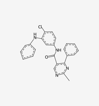 Cc1ncc(C(=O)Nc2ccc(Cl)c(Nc3ccccc3)c2)c(-c2ccccc2)n1